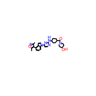 Cc1noc(C)c1-c1cccc2c1ccn2-c1ccnc(NC2CCC(C(=O)N3CCC(O)CC3)CC2)n1